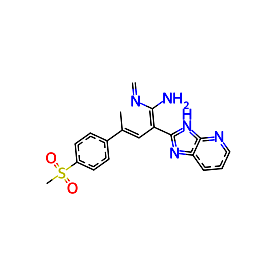 C=N/C(N)=C(\C=C(/C)c1ccc(S(C)(=O)=O)cc1)c1nc2cccnc2[nH]1